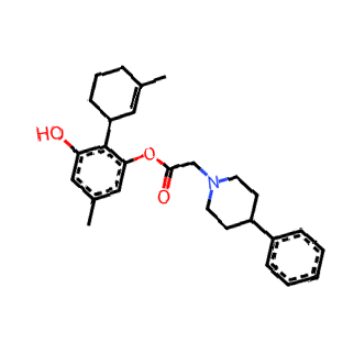 CC1=CC(c2c(O)cc(C)cc2OC(=O)CN2CCC(c3ccccc3)CC2)CCC1